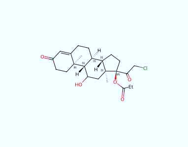 CCC(=O)O[C@]1(C(=O)CCl)CC[C@H]2[C@@H]3CCC4=CC(=O)CC[C@]4(C)[C@H]3C(O)C[C@@]21C